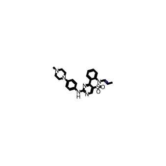 C/C=C/N1c2ccccc2-c2nc(Nc3ccc(N4CCN(C)CC4)cc3)ncc2S1(=O)=O